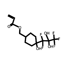 C=CC(=O)OCC1CCC(O)(C(F)(F)C(O)(O)C(F)(F)F)CC1